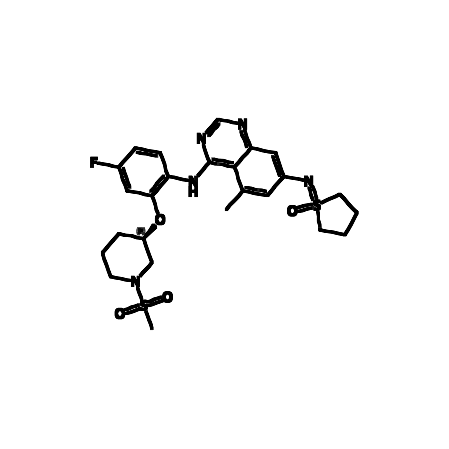 Cc1cc(N=S2(=O)CCCC2)cc2ncnc(Nc3ccc(F)cc3O[C@@H]3CCCN(S(C)(=O)=O)C3)c12